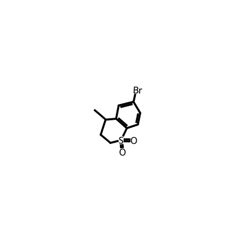 CC1CCS(=O)(=O)c2ccc(Br)cc21